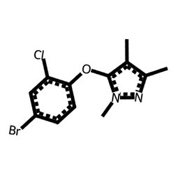 Cc1nn(C)c(Oc2ccc(Br)cc2Cl)c1C